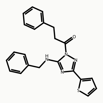 O=C(CCc1ccccc1)n1nc(-c2cccs2)nc1NCc1ccccc1